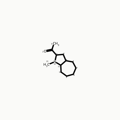 CC(=O)C1CC2CCCCCC2N1C